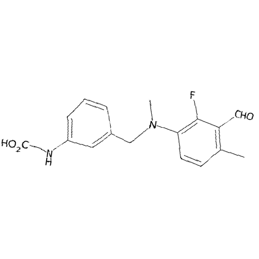 Cc1ccc(N(C)Cc2cccc(NC(=O)O)c2)c(F)c1C=O